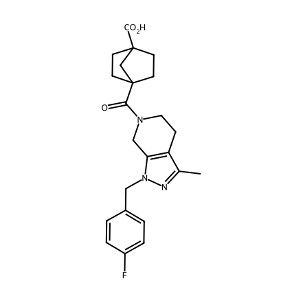 Cc1nn(Cc2ccc(F)cc2)c2c1CCN(C(=O)C13CCC(C(=O)O)(CC1)C3)C2